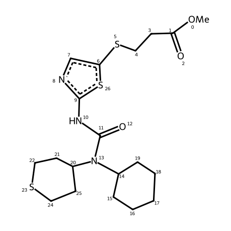 COC(=O)CCSc1cnc(NC(=O)N(C2CCCCC2)C2CCSCC2)s1